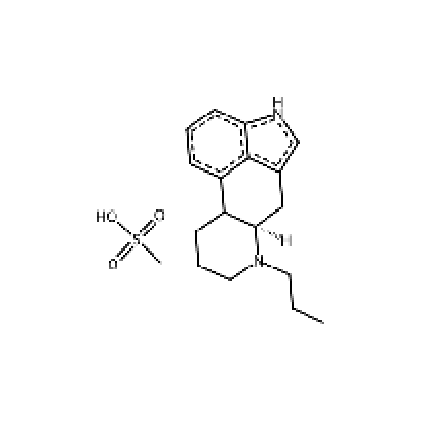 CCCN1CCCC2c3cccc4[nH]cc(c34)C[C@H]21.CS(=O)(=O)O